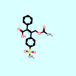 CC(=O)OC/C(=C(/C(=O)O)c1ccccc1)c1ccc(S(C)(=O)=O)cc1